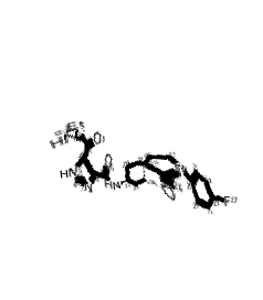 CCNC(=O)c1[nH]cnc1C(=O)N[C@H]1CC[C@@]2(CCN(c3ccc(F)cc3)C2=O)CC1